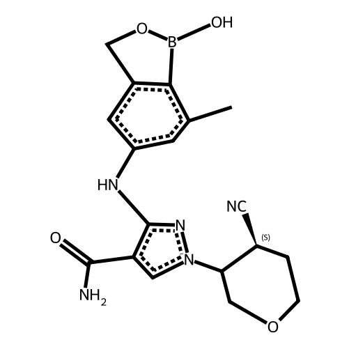 Cc1cc(Nc2nn(C3COCC[C@@H]3C#N)cc2C(N)=O)cc2c1B(O)OC2